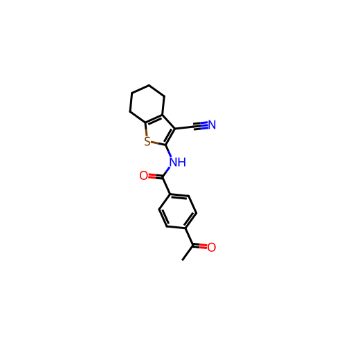 CC(=O)c1ccc(C(=O)Nc2sc3c(c2C#N)CCCC3)cc1